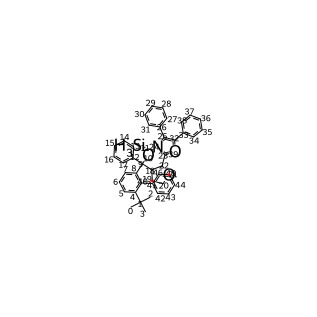 CC(C)(C)c1cccc(C(O[SiH3])(c2ccccc2)C2CCOC2c2nc(-c3ccccc3)c(-c3ccccc3)o2)c1-c1ccccc1